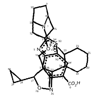 O=C(O)c1ccc2nc(N3C4CCC3CC(OCC3C(C5CCCCC5C(F)(F)F)=NOC3C3CC3)C4)sc2c1